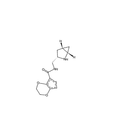 O=C(NC[C@@H]1C[C@@H]2C[C@@H]2N1)c1scc2c1OCCO2